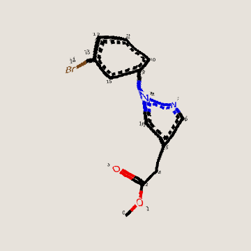 COC(=O)Cc1cnn(-c2cccc(Br)c2)c1